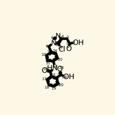 O=C(O)Cc1ncn(Cc2ccc(NC(=O)c3ccccc3C(=O)O)cc2)c1Cl